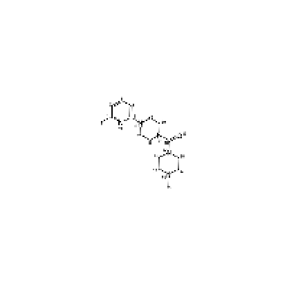 Cc1cccc(N2CCN(C(=O)N3CCN(C)CC3)CC2)n1